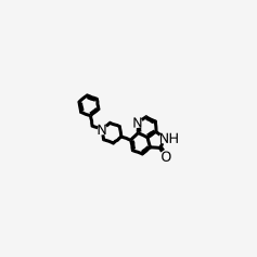 O=C1Nc2ccnc3c(C4CCN(Cc5ccccc5)CC4)ccc1c23